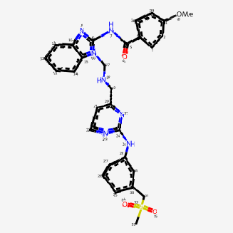 COc1ccc(C(=O)Nc2nc3ccccc3n2CNCc2ccnc(Nc3cccc(CS(C)(=O)=O)c3)n2)cc1